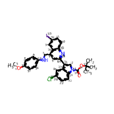 COc1ccc(NCc2cc(-c3cn(C(=O)OC(C)(C)C)c4ccc(Cl)cc34)nc3ccc(I)cc23)cc1